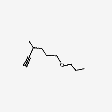 C#CC(C)CCCOCC[CH2]